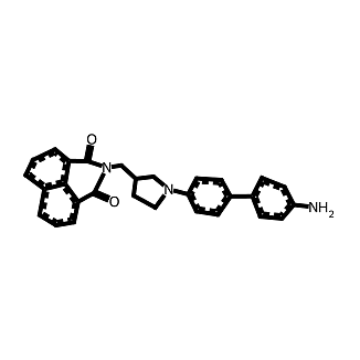 Nc1ccc(-c2ccc(N3CCC(CN4C(=O)c5cccc6cccc(c56)C4=O)C3)cc2)cc1